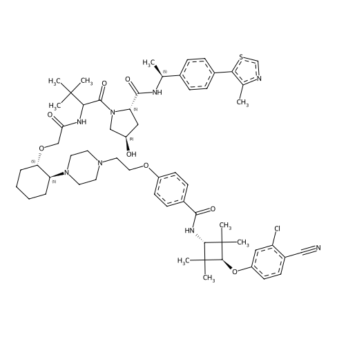 Cc1ncsc1-c1ccc([C@H](C)NC(=O)[C@@H]2C[C@@H](O)CN2C(=O)C(NC(=O)CO[C@H]2CCCC[C@@H]2N2CCN(CCOc3ccc(C(=O)N[C@H]4C(C)(C)[C@H](Oc5ccc(C#N)c(Cl)c5)C4(C)C)cc3)CC2)C(C)(C)C)cc1